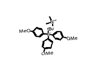 COc1ccc([B-](c2ccc(OC)cc2)(c2ccc(OC)cc2)C(C)(C)C)cc1.C[N+](C)(C)C